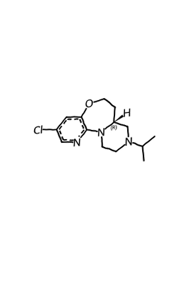 CC(C)N1CCN2c3ncc(Cl)cc3OCC[C@@H]2C1